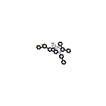 CC1(C)c2cc(-c3ccc4sc5ccccc5c4c3)ccc2-c2ccc(N(c3ccc(-c4ccccc4)cc3)c3cc(-c4ccccc4)cc(-c4ccccc4)c3)cc21